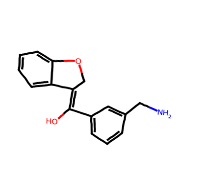 NCc1cccc(C(O)=C2COc3ccccc32)c1